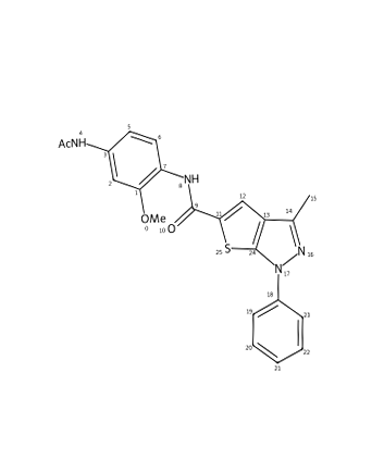 COc1cc(NC(C)=O)ccc1NC(=O)c1cc2c(C)nn(-c3ccccc3)c2s1